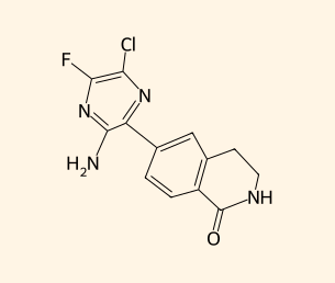 Nc1nc(F)c(Cl)nc1-c1ccc2c(c1)CCNC2=O